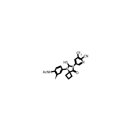 CC(=O)Nc1ccc(N2C(S)N(c3cnc(C#N)c(C(F)(F)F)c3)C(=O)C23CCC3)cc1F